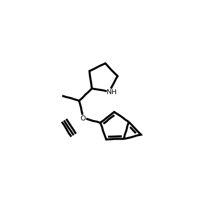 C#C.CC(Oc1cc2cc-2c1)C1CCCN1